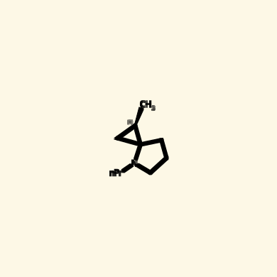 CCCN1CCCC12C[C@H]2C